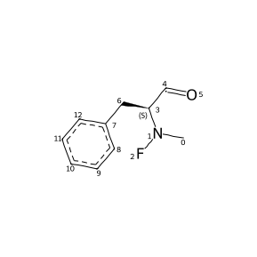 CN(F)[C@H]([C]=O)Cc1ccccc1